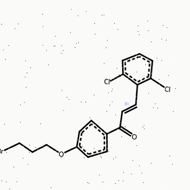 O=C(/C=C/c1c(Cl)cccc1Cl)c1ccc(OCCCBr)cc1